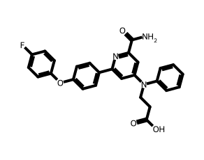 NC(=O)c1cc(N(CCC(=O)O)c2ccccc2)cc(-c2ccc(Oc3ccc(F)cc3)cc2)n1